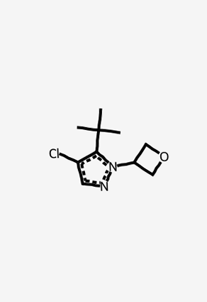 CC(C)(C)c1c(Cl)cnn1C1COC1